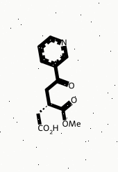 COC(=O)[C@H](CC(=O)O)CC(=O)c1cccnc1